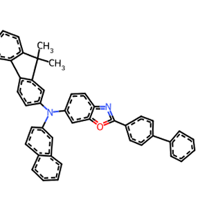 CC1(C)c2ccccc2-c2ccc(N(c3ccc4ccccc4c3)c3ccc4nc(-c5ccc(-c6ccccc6)cc5)oc4c3)cc21